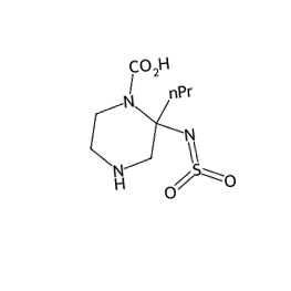 CCCC1(N=S(=O)=O)CNCCN1C(=O)O